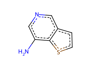 Nc1cncc2ccsc12